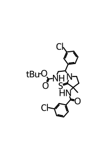 CC(C)(C)OC(=O)NCC(c1cccc(Cl)c1)N1CCC(C)(NC(=O)c2cccc(Cl)c2)C1=S